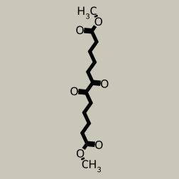 COC(=O)CCCCC(=O)C(=O)CCCCC(=O)OC